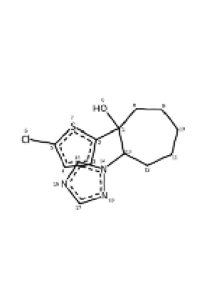 OC1(c2ccc(Cl)s2)CCCCCC1n1cncn1